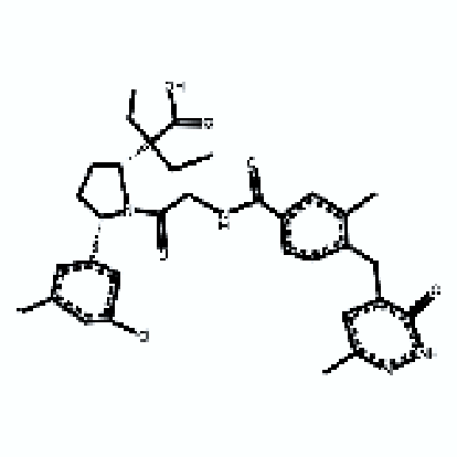 CCC(CC)(C(=O)O)[C@H]1CC[C@@H](c2cc(F)cc(Cl)c2)N1C(=O)CNC(=O)c1ccc(Cc2cc(C)n[nH]c2=O)c(C)c1